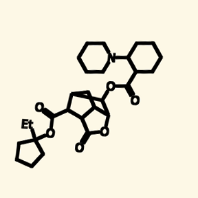 CCC1(OC(=O)C2C3CC4C(OC(=O)C42)C3OC(=O)C2CCCCC2N2CCCCC2)CCCC1